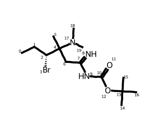 CC[C@@H](Br)C(C)(CC(=N)NC(=O)OC(C)(C)C)N(C)C